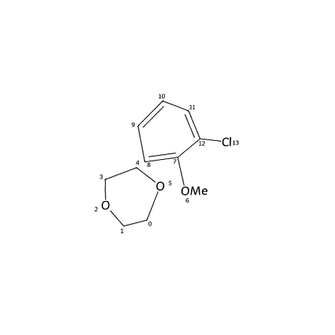 C1COCCO1.COc1ccccc1Cl